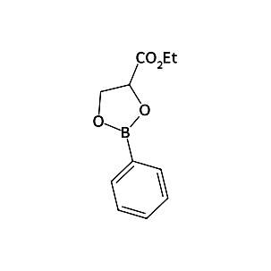 CCOC(=O)C1COB(c2ccccc2)O1